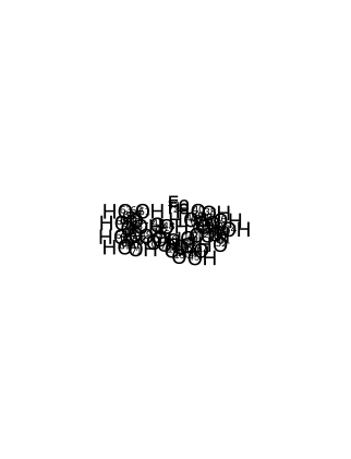 O=C(CC(O)(CC(=O)OC(=O)OC(=O)CC(O)(CC(=O)OC[C@H]1O[C@H](O[C@]2(CO)O[C@H](CO)[C@@H](O)[C@@H]2O)[C@H](O)[C@@H](O)[C@@H]1O)C(=O)O)C(=O)O)OC[C@H]1O[C@H](O[C@]2(CO)O[C@H](CO)[C@@H](O)[C@@H]2O)[C@H](O)[C@@H](O)[C@@H]1O.[Fe].[Fe]